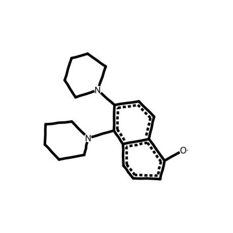 [O]c1cccc2c(N3CCCCC3)c(N3CCCCC3)ccc12